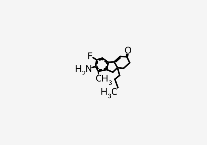 CCCCC12CCC(=O)C=C1c1cc(F)c(N)c(C)c1C2